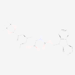 CC1(C)OB(c2cc(F)cc(C[C@H](NC(=O)OCC3c4ccccc4-c4ccccc43)C(=O)O)c2)OC1(C)C